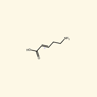 NCC/C=C/C(=O)O